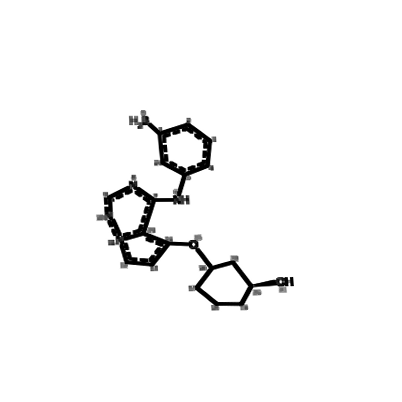 Bc1cccc(Nc2ncnn3ccc(OC4CCC[C@H](O)C4)c23)c1